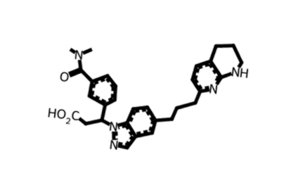 CN(C)C(=O)c1cccc(C(CC(=O)O)n2ncc3cc(CCCc4ccc5c(n4)NCCC5)ccc32)c1